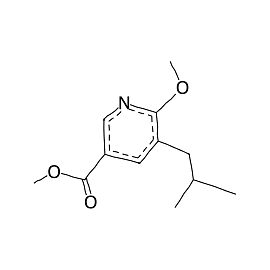 COC(=O)c1cnc(OC)c(CC(C)C)c1